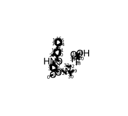 COc1ccc(NC(=O)c2ccc(-c3ccccc3)cc2C)cc1OCCN(C(C)C)C(C)C.O=C(O)C(F)(F)F